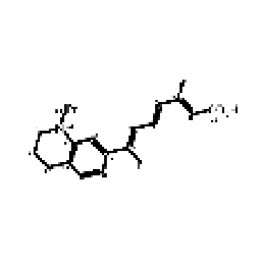 CC(C=CC=C(C)c1ccc2c(c1)N(C(C)C)CCC2)=CC(=O)O